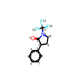 O=C1C(c2ccccc2)CCN1C(F)(F)F